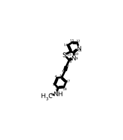 CNc1ccc(C#Cc2nc3ncccc3s2)cc1